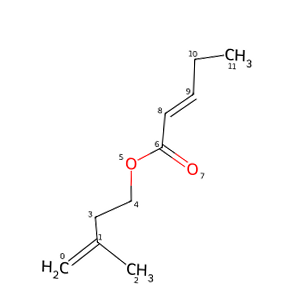 C=C(C)CCOC(=O)C=CCC